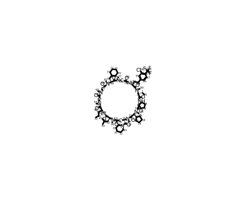 CC[C@@H]1C(=O)NC2(CCCC2)C(=O)N(C)[C@@H](C2CCCC2)C(=O)N(C)[C@H](C(=O)N2CCCCC2)CC(=O)N(C)[C@@H](CC(C)C)C(=O)N[C@@H]([C@@H](C)CC)C(=O)N(C)CC(=O)N(C)CC(=O)N(C)[C@@H](CC2CCCCC2)C(=O)N(C)CC(=O)N[C@@H](CCc2ccc(C(F)(F)F)c(Cl)c2)C(=O)N1C